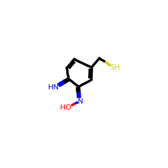 N=C1C=CC(CS)=C/C1=N/O